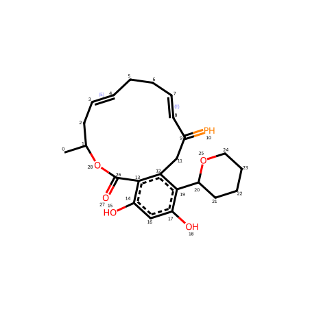 CC1C/C=C/CC/C=C/C(=P)Cc2c(c(O)cc(O)c2C2CCCCO2)C(=O)O1